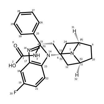 O=C(O)N[C@@H](CCN1[C@@H]2CC[C@H]1C[C@H](n1cnc3cc(F)ccc31)C2)c1ccccc1